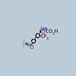 CN(C(=O)O)c1ncc(-c2ccc(-c3ccc(C(=O)N4CC(F)(F)C4)cc3)cc2C(F)(F)F)o1